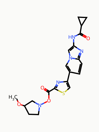 COC1CCN(OC(=O)c2nc(-c3ccc4nc(NC(=O)C5CC5)cn4c3)cs2)C1